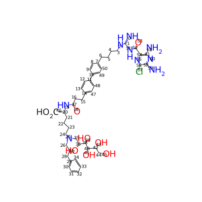 N=C(NCCCCc1ccc(-c2ccc(CCC(=O)N[C@@H](CCCCN(CCCc3ccccc3)C[C@H](O)[C@@H](O)[C@H](O)[C@H](O)CO)C(=O)O)cc2)cc1)NC(=O)c1nc(Cl)c(N)nc1N